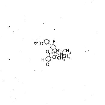 CC1CN(c2cc(F)c(-c3cccc(OCC4CC4)c3)cc2NC(=O)c2c[nH]c(=O)cc2C(F)(F)F)CC(C)N1C